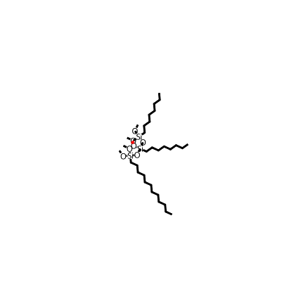 CCCCCCCCCCCC[Si](OC)(OC)O[Si](CCCCCCCC)(OC)O[Si](CCCCCCCC)(OC)OC